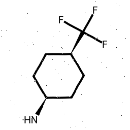 [NH][C@H]1CC[C@@H](C(F)(F)F)CC1